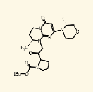 C[C@@H]1COCCN1c1cc(=O)n2c(n1)N(CC(=O)C1CCCN1C(=O)OC(C)(C)C)[C@H](C(F)(F)F)CC2